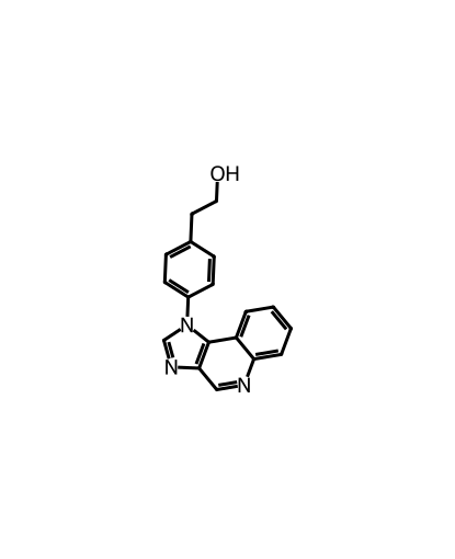 OCCc1ccc(-n2cnc3cnc4ccccc4c32)cc1